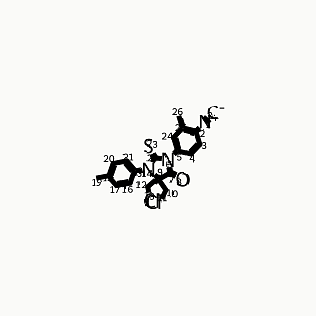 [C-]#[N+]c1ccc(N2C(=O)C(CCl)(CCl)N(c3ccc(C)cc3)C2=S)cc1C